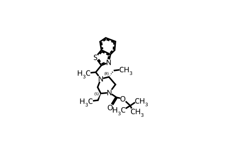 CC[C@H]1CN(C(C)c2nc3ccccc3s2)[C@H](CC)CN1C(=O)OC(C)(C)C